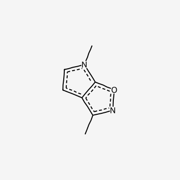 Cc1noc2c1ccn2C